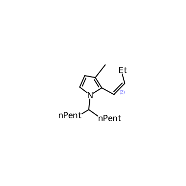 CC/C=C\c1c(C)ccn1C(CCCCC)CCCCC